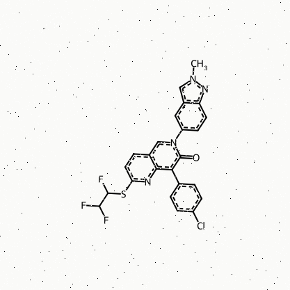 Cn1cc2cc(-n3cc4ccc(SC(F)C(F)F)nc4c(-c4ccc(Cl)cc4)c3=O)ccc2n1